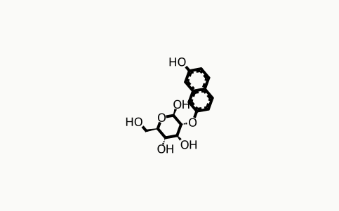 OC[C@H]1O[C@@H](O)[C@H](Oc2ccc3ccc(O)cc3c2)[C@@H](O)[C@@H]1O